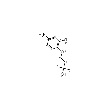 CC(C)(O)CCOc1ccc(N)cc1Cl